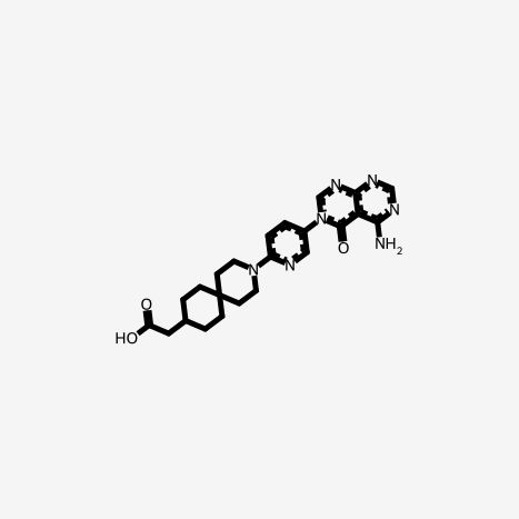 Nc1ncnc2ncn(-c3ccc(N4CCC5(CCC(CC(=O)O)CC5)CC4)nc3)c(=O)c12